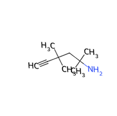 C#CC(C)(C)CC(C)(C)N